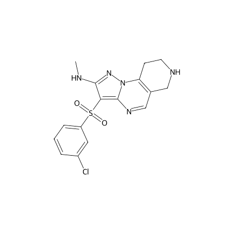 CNc1nn2c3c(cnc2c1S(=O)(=O)c1cccc(Cl)c1)CNCC3